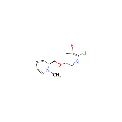 CN1C=CC=C[C@H]1COc1cnc(Cl)c(Br)c1